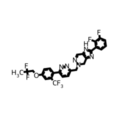 CC(F)(F)COc1ccc(-c2ccc(CN3Cc4nc(-c5cccc(F)c5F)[nH]c4C=N3)nn2)c(C(F)(F)F)c1